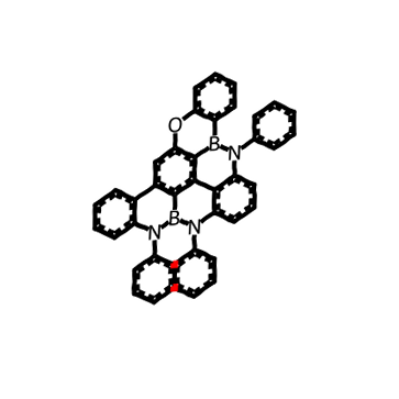 c1ccc(N2B3c4c(cc5c6c4-c4c(cccc4N3c3ccccc3)N(c3ccccc3)B6c3ccccc3O5)-c3ccccc32)cc1